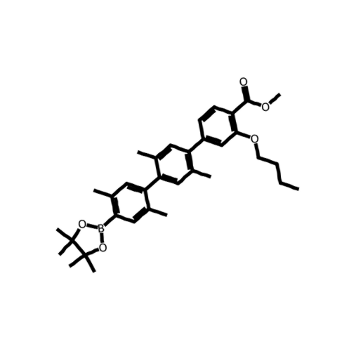 CCCCOc1cc(-c2cc(C)c(-c3cc(C)c(B4OC(C)(C)C(C)(C)O4)cc3C)cc2C)ccc1C(=O)OC